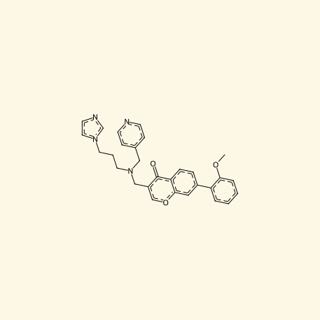 COc1ccccc1-c1ccc2c(=O)c(CN(CCCn3ccnc3)Cc3ccncc3)coc2c1